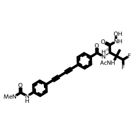 CNC(=O)Nc1ccc(C#CC#Cc2ccc(C(=O)N[C@H](C(=O)NO)C(C)(NC(C)=O)C(F)F)cc2)cc1